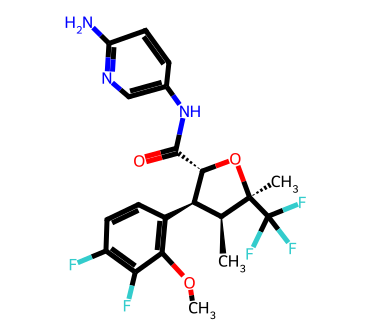 COc1c([C@H]2[C@H](C(=O)Nc3ccc(N)nc3)O[C@@](C)(C(F)(F)F)[C@H]2C)ccc(F)c1F